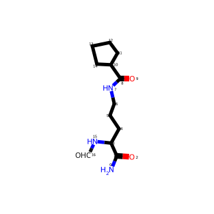 NC(=O)C(CCCNC(=O)C1CCCC1)NC=O